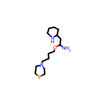 NC(CC1CCCCN1)OCCCCN1CCSCC1